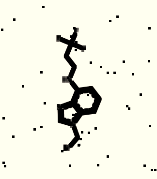 FC(F)(F)CCNc1cccc2c1ncn2CBr